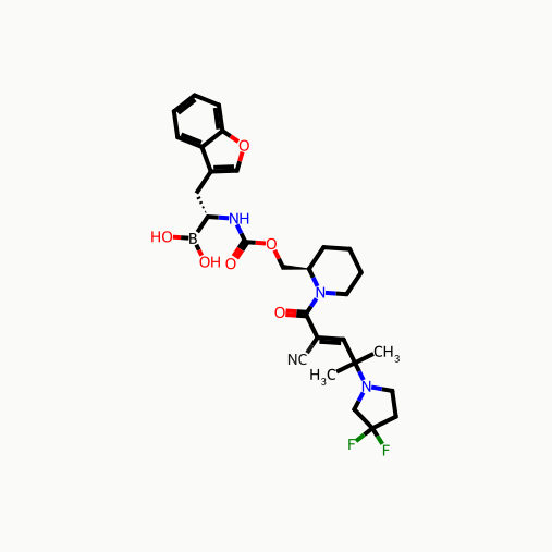 CC(C)(C=C(C#N)C(=O)N1CCCC[C@@H]1COC(=O)N[C@@H](Cc1coc2ccccc12)B(O)O)N1CCC(F)(F)C1